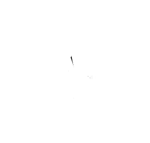 CCC[C@@H]1CC(F)(F)CN1